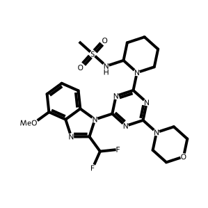 COc1cccc2c1nc(C(F)F)n2-c1nc(N2CCOCC2)nc(N2CCCCC2NS(C)(=O)=O)n1